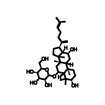 C=C(CCC=C(C)C)[C@H]1CC[C@]2(C)[C@@H]1[C@H](O)C[C@@H]1[C@@]3(C)CC[C@H](O)C(C)(C)[C@@H]3[C@@H](OC3O[C@H](CO)[C@@H](O)[C@H](O)[C@H]3O)C[C@]12C